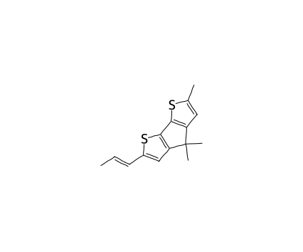 C/C=C/c1cc2c(s1)-c1sc(C)cc1C2(C)C